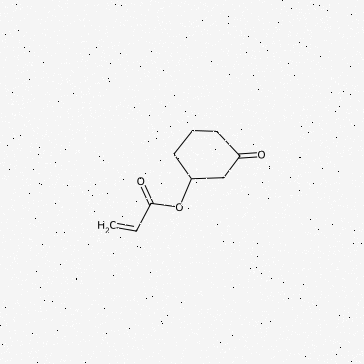 C=CC(=O)OC1CCCC(=O)C1